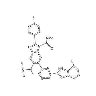 CNC(=O)c1c(-c2ccc(F)cc2)oc2cc(N(C)S(C)(=O)=O)c(-c3cncc(-c4cc5cccc(F)c5[nH]4)n3)cc12